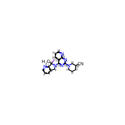 CC1(I)c2ncccc2CN1c1nc(N2CCCC(C#N)C2)nc2ncccc12